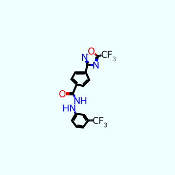 O=C(NNc1cccc(C(F)(F)F)c1)c1ccc(-c2noc(C(F)(F)F)n2)cc1